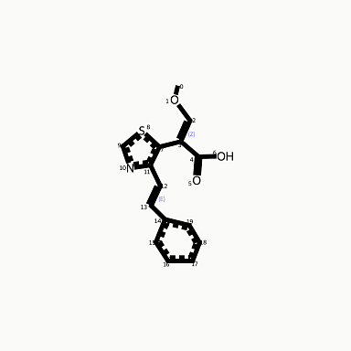 CO/C=C(/C(=O)O)c1scnc1/C=C/c1ccccc1